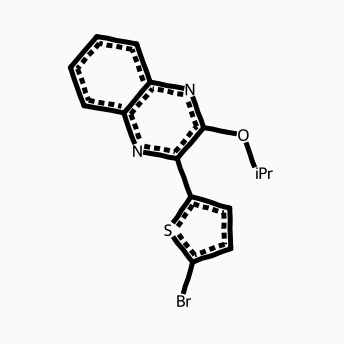 CC(C)Oc1nc2ccccc2nc1-c1ccc(Br)s1